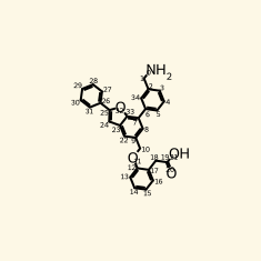 NCc1cccc(-c2cc(COc3ccccc3CC(=O)O)cc3cc(-c4ccccc4)oc23)c1